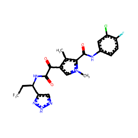 Cc1c(C(=O)C(=O)NC(CC(F)(F)F)c2cn[nH]n2)cn(C)c1C(=O)Nc1ccc(F)c(Cl)c1